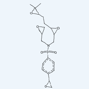 CC1(C)OC1CCC1OC1CN(CC1CO1)S(=O)(=O)c1ccc(C2CO2)cc1